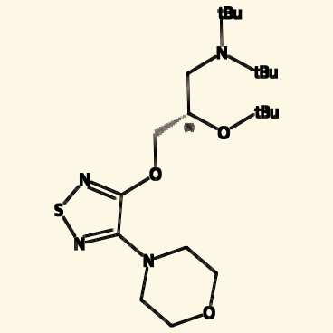 CC(C)(C)O[C@H](COc1nsnc1N1CCOCC1)CN(C(C)(C)C)C(C)(C)C